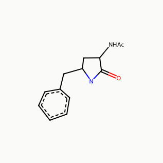 CC(=O)NC1CC(Cc2ccccc2)[N]C1=O